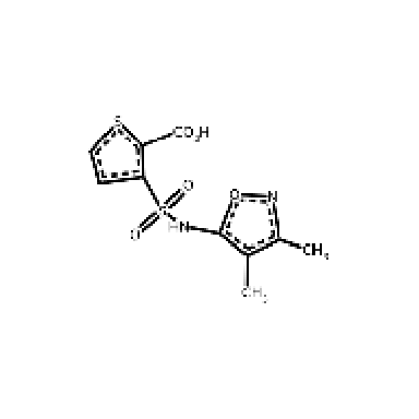 Cc1noc(NS(=O)(=O)c2ccsc2C(=O)O)c1C